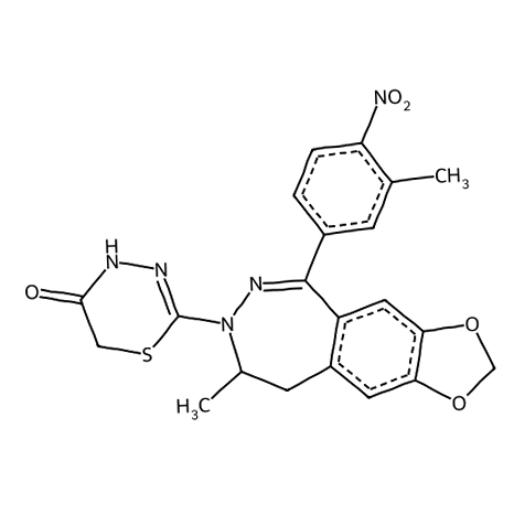 Cc1cc(C2=NN(C3=NNC(=O)CS3)C(C)Cc3cc4c(cc32)OCO4)ccc1[N+](=O)[O-]